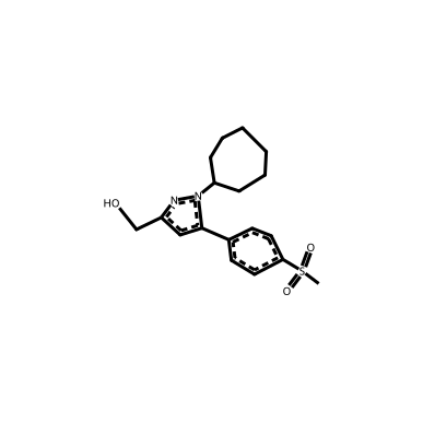 CS(=O)(=O)c1ccc(-c2cc(CO)nn2C2CCCCCC2)cc1